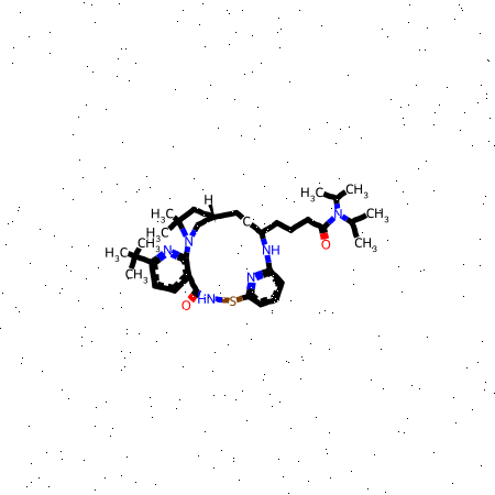 CC(C)N(C(=O)CCCC1CC[C@@H]2CN(c3nc(C(C)(C)C)ccc3C(=O)NSc3cccc(n3)N1)C(C)(C)C2)C(C)C